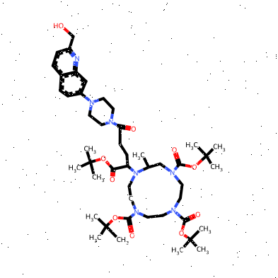 CC1CN(C(=O)OC(C)(C)C)CCN(C(=O)OC(C)(C)C)CCN(C(=O)OC(C)(C)C)CCN1C(CCC(=O)N1CCN(c2ccc3ccc(CO)nc3c2)CC1)C(=O)OC(C)(C)C